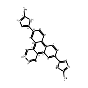 CC(C)c1ncc(-c2ccc3c4ccc(-c5cnc(C(C)C)[nH]5)cc4c4cnncc4c3c2)[nH]1